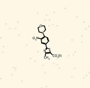 CCOC(=O)c1sc(-c2ccc(N3CCOCC3)c([N+](=O)[O-])c2)nc1C